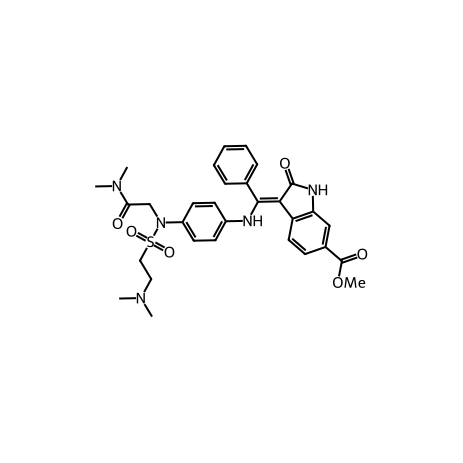 COC(=O)c1ccc2c(c1)NC(=O)C2=C(Nc1ccc(N(CC(=O)N(C)C)S(=O)(=O)CCN(C)C)cc1)c1ccccc1